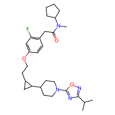 CC(C)c1noc(N2CCC(C3CC3CCOc3ccc(CC(=O)N(C)C4CCCC4)c(F)c3)CC2)n1